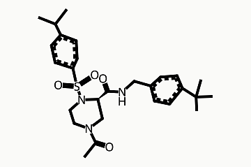 CC(=O)N1CCN(S(=O)(=O)c2ccc(C(C)C)cc2)[C@@H](C(=O)NCc2ccc(C(C)(C)C)cc2)C1